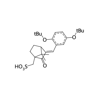 CC(C)(C)Oc1ccc(OC(C)(C)C)c(C=C2C(=O)C3(CS(=O)(=O)O)CCC2C3(C)C)c1